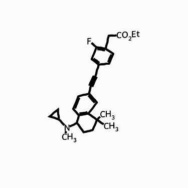 CCOC(=O)Cc1ccc(C#Cc2ccc3c(c2)C(C)(C)CCC3N(C)C2CC2)cc1F